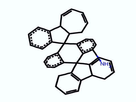 Nc1cccc2c1C1(C3=CC=CCC3C3=C1CCC=C3)c1ccccc1C21c2ccccc2C2C=CC=CCC21